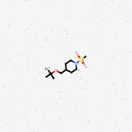 CCC(C)(C)OCC1CCN(S(C)(=O)=O)CC1